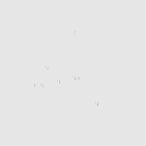 Nc1ncc(-c2cccc(F)c2)c(NCCCN2CCCC2)n1